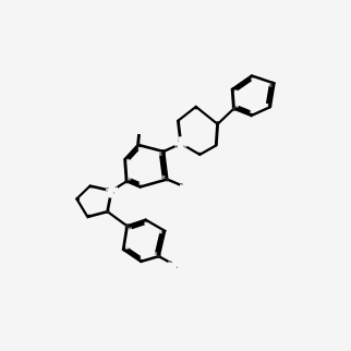 Nc1ccc(C2CCCN2c2cc(F)c(N3CCC(c4ccccc4)CC3)c(F)c2)cc1